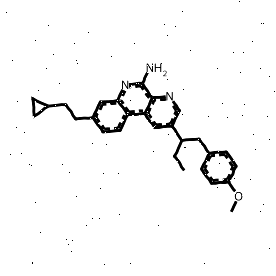 CCC(Cc1ccc(OC)cc1)c1cnc2c(N)nc3cc(CCC4CC4)ccc3c2c1